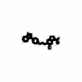 CC(=O)N1CCc2cc(CCCN3CCN(c4nsc5ccccc45)CC3)c(Cl)cc21